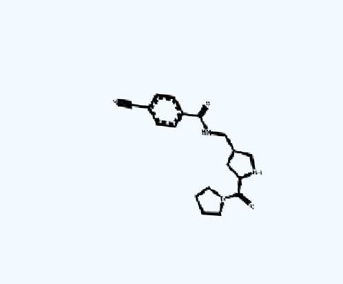 N#Cc1ccc(C(=O)NCC2CNC(C(=O)N3CCCC3)C2)cc1